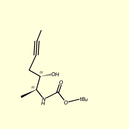 CC#CC[C@H](O)[C@H](C)NC(=O)OC(C)(C)C